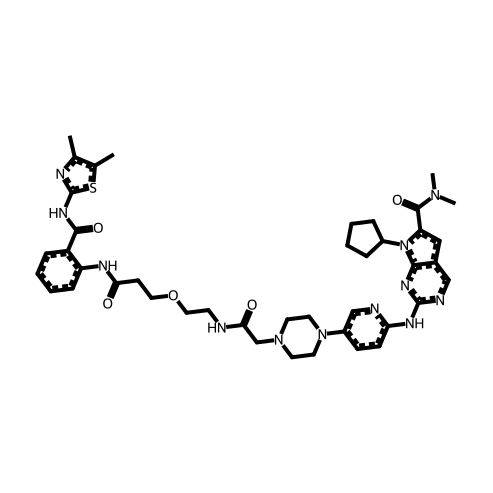 Cc1nc(NC(=O)c2ccccc2NC(=O)CCOCCNC(=O)CN2CCN(c3ccc(Nc4ncc5cc(C(=O)N(C)C)n(C6CCCC6)c5n4)nc3)CC2)sc1C